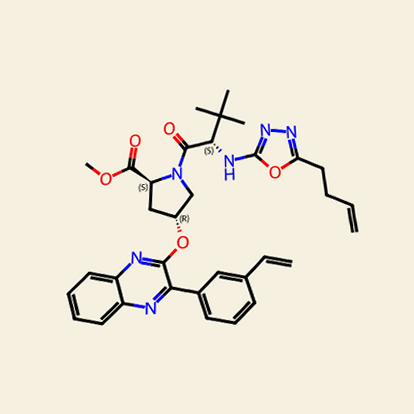 C=CCCc1nnc(N[C@H](C(=O)N2C[C@H](Oc3nc4ccccc4nc3-c3cccc(C=C)c3)C[C@H]2C(=O)OC)C(C)(C)C)o1